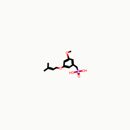 COc1cc(CP(=O)(O)O)cc(OCC=C(C)C)c1